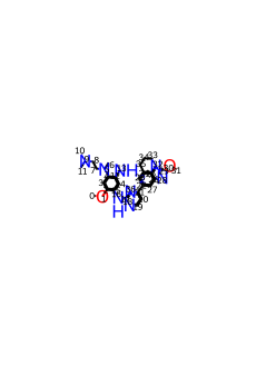 COc1cc(N(C)CCN(C)C)c(N)cc1Nc1nccc(-c2cc3c4c(c2)nc(OC)n4CCC3)n1